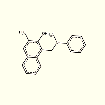 Cc1cc2ccccc2c(CN(C)c2ccccc2)c1O